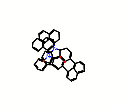 C1=Cc2c(cccc2-n2c3ccccc3c3cc(-c4cccc5cccc(C6=CCC7C(=C6)c6ccccc6N7C6=c7ccccc7=CCC6)c45)ccc32)CC1